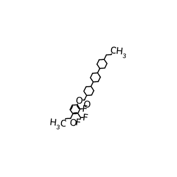 CCCC1CCC(C2CCC(C3CCC(C(=O)Oc4ccc(C(=O)CC)c(C(F)F)c4F)CC3)CC2)CC1